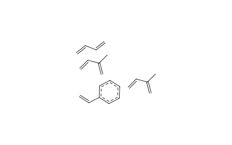 C=CC(=C)C.C=CC(=C)C.C=CC=C.C=Cc1ccccc1